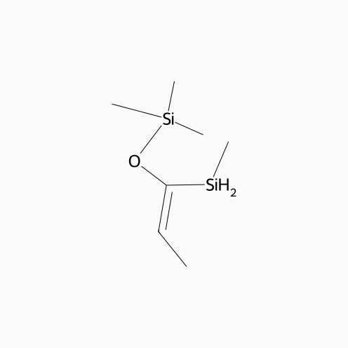 CC=C(O[Si](C)(C)C)[SiH2]C